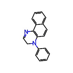 C1=Nc2c(ccc3ccccc23)N(c2ccccc2)C1